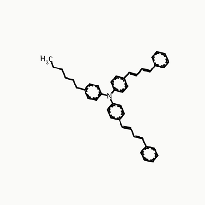 CCCCCCc1ccc(N(c2ccc(/C=C/C=C/c3ccccc3)cc2)c2ccc(/C=C/C=C/c3ccccc3)cc2)cc1